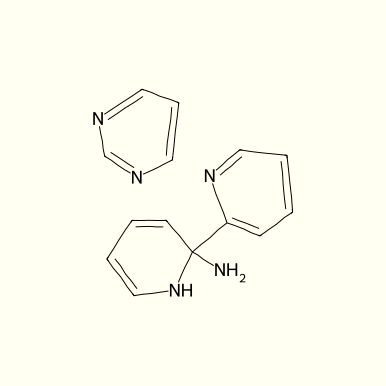 NC1(c2ccccn2)C=CC=CN1.c1cncnc1